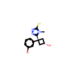 Cn1c(S)nnc1[C@]1(c2cccc(Br)c2)C[C@@H](O)C1